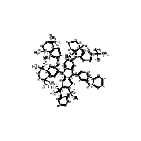 CC(C)(C)c1ccc2c(c1)C1(C)CCCCC1(C)N2c1cc2c3c(c1)N(c1ccc4c(c1)sc1ccccc14)c1cc4c(cc1B3c1cc3c(cc1N2c1ccc2c(c1)C(C)(C)CCC2(C)C)C(C)(C)CCC3(C)C)C(C)(C)c1ccccc1C4(C)C